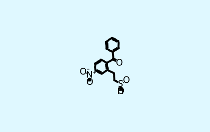 O=C(c1ccccc1)c1ccc([N+](=O)[O-])cc1CC[SH](=O)=O